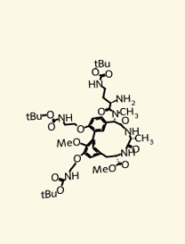 COC(=O)[C@@H]1Cc2cc(OCCNC(=O)OC(C)(C)C)c(OC)c(c2)-c2cc(ccc2OCCNC(=O)OC(C)(C)C)[C@H](N(C)C(=O)[C@H](N)CCNC(=O)OC(C)(C)C)C(=O)N[C@H](C)C(=O)N1